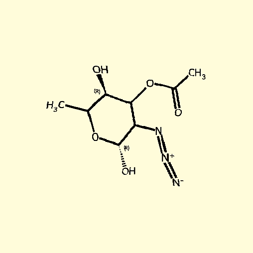 CC(=O)OC1C(N=[N+]=[N-])[C@H](O)OC(C)[C@H]1O